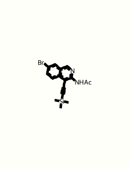 CC(=O)Nc1ncc2cc(Br)ccc2c1C#C[Si](C)(C)C